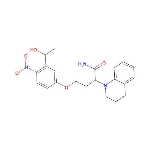 CC(O)c1cc(OCCC(C(N)=O)N2CCCc3ccccc32)ccc1[N+](=O)[O-]